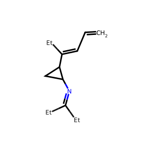 C=C/C=C(\CC)C1CC1N=C(CC)CC